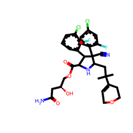 CC(C)(CC1NC(C(=O)OC[C@@H](O)CC(N)=O)C(c2cccc(Cl)c2F)C1(C#N)c1ccc(Cl)cc1F)C1=CCOCC1